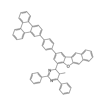 CC1C(c2ccccc2)=NC(c2ccccc2)=NC1c1cc(-c2ccc(-c3ccc4c5ccccc5c5ccccc5c4c3)cc2)cc2c1oc1cc3ccccc3cc12